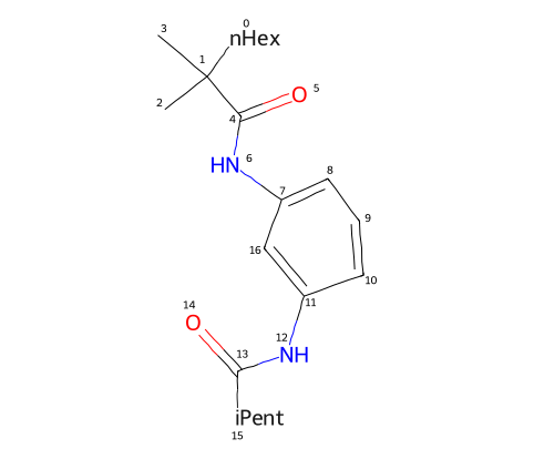 CCCCCCC(C)(C)C(=O)Nc1cccc(NC(=O)C(C)CCC)c1